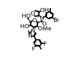 CO[C@@H]1[C@@H](n2cc(-c3cc(F)c(C)c(F)c3)nn2)[C@@H](O)[C@@H](CO)O[C@H]1C(=O)N(c1cc(C)cc(Br)c1)[C@@H]1COC[C@H]1O